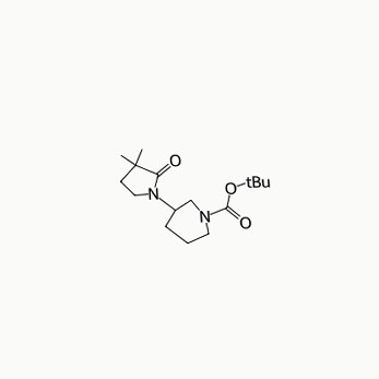 CC(C)(C)OC(=O)N1CCCC(N2CCC(C)(C)C2=O)C1